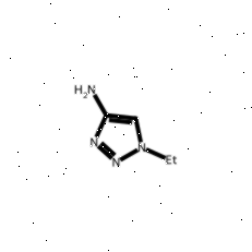 CCn1cc(N)nn1